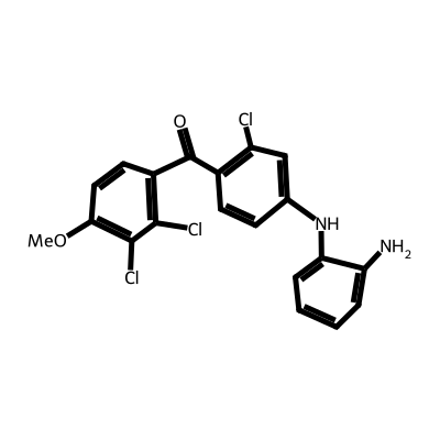 COc1ccc(C(=O)c2ccc(Nc3ccccc3N)cc2Cl)c(Cl)c1Cl